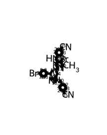 Cc1nc(N(CCc2ccc(Br)cc2)Cc2nncn2Cc2ccc(C#N)cc2)nc(Nc2ccc(C#N)cc2)c1Br